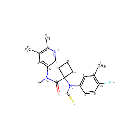 COc1cc(N(C=S)C2(C(=O)N(C)c3cnc(C#N)c(C(F)(F)F)c3)CCC2)ccc1F